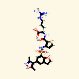 Cc1noc(C)c1-c1cc2c(c(S(=O)(=O)Nc3ccsc3C(=O)N[C@@H](CCCNC(=N)N)C(=O)O)c1)OCC2